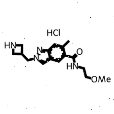 COCCNC(=O)c1cc2cn(CC3CNC3)nc2cc1C.Cl